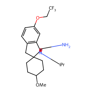 COC1CCC2(CC1)Cc1ccc(OCC(F)(F)F)cc1C21N=C(N)N(C(C)C)O1